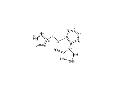 O=C1NNNN1c1ncccc1COc1cc[nH]n1